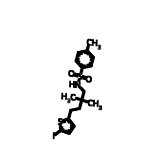 Cc1ccc(S(=O)(=O)NCC(C)(C)CCc2ccc(I)s2)cc1